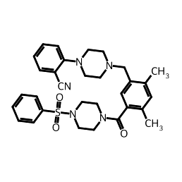 Cc1cc(C)c(C(=O)N2CCN(S(=O)(=O)c3ccccc3)CC2)cc1CN1CCN(c2ccccc2C#N)CC1